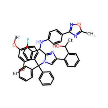 CCOc1cc(OC(C)C)c(F)c(C(Nc2ccc(-c3noc(C)n3)cc2)c2nc(-c3ccccc3C(O)CC)cn2C(c2ccccc2)(c2ccccc2)c2ccccc2)c1